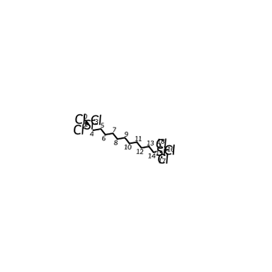 Cl[Si](Cl)(Cl)CCCCCCCCCCC[Si](Cl)(Cl)Cl